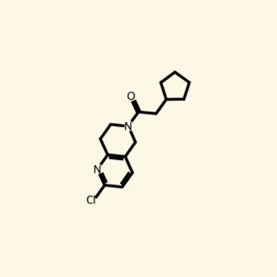 O=C(CC1CCCC1)N1CCc2nc(Cl)ccc2C1